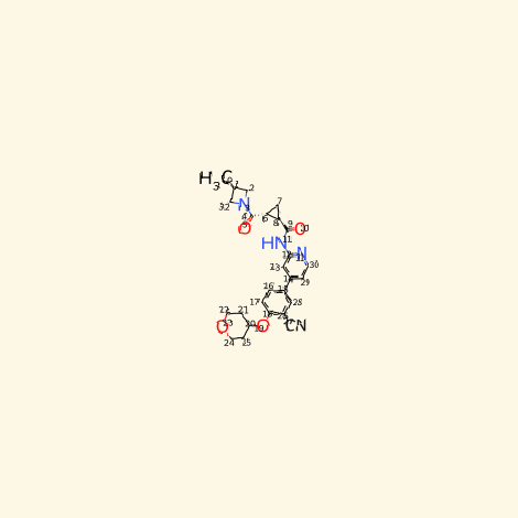 CC1CN(C(=O)[C@@H]2C[C@H]2C(=O)Nc2cc(-c3ccc(OC4CCOCC4)c(C#N)c3)ccn2)C1